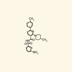 Cc1ccc(-c2ccc(C(=O)NS(=O)(=O)c3cccc(N)n3)c(N3CCC(C)CC3)n2)cc1